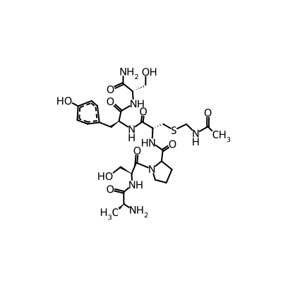 CC(=O)NCSC[C@H](NC(=O)C1CCCN1C(=O)[C@H](CO)NC(=O)[C@H](C)N)C(=O)N[C@@H](Cc1ccc(O)cc1)C(=O)N[C@@H](CO)C(N)=O